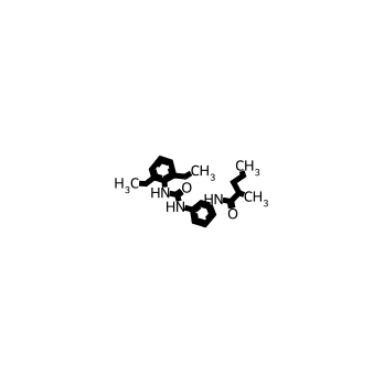 CCCC(C)C(=O)Nc1cccc(NC(=O)Nc2c(CC)cccc2CC)c1